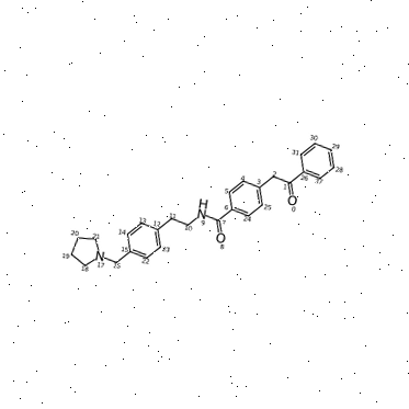 O=C(Cc1ccc(C(=O)NCCc2ccc(CN3CCCC3)cc2)cc1)c1ccccc1